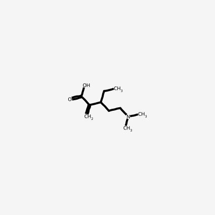 C=C(C(=O)O)C(CC)CCN(C)C